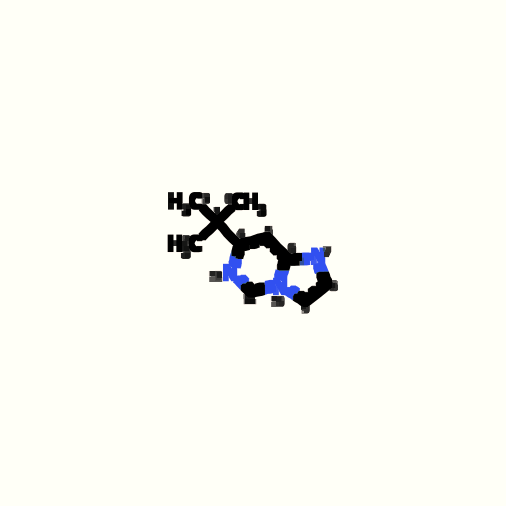 CC(C)(C)c1cc2nccn2cn1